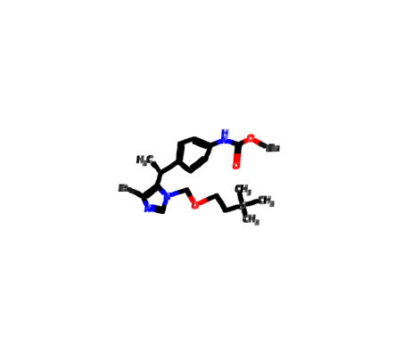 CCc1ncn(COCC[Si](C)(C)C)c1[C@@H](C)c1ccc(NC(=O)OC(C)(C)C)cc1